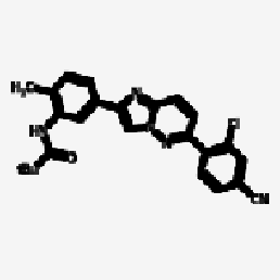 Cc1ccc(-c2cn3nc(-c4ccc(C#N)cc4Cl)ccc3n2)cc1NC(=O)C(C)(C)C